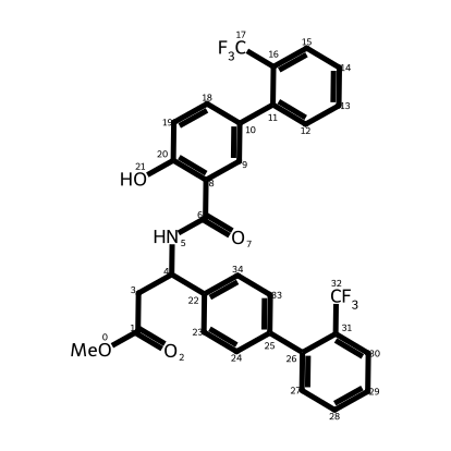 COC(=O)CC(NC(=O)c1cc(-c2ccccc2C(F)(F)F)ccc1O)c1ccc(-c2ccccc2C(F)(F)F)cc1